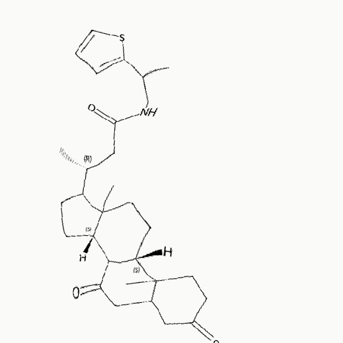 CC(NC(=O)C[C@@H](C)C1CC[C@H]2C3C(=O)CC4CC(=O)CCC4(C)[C@H]3CCC12C)c1cccs1